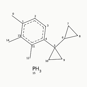 Cc1ccc(C2(C3CC3)CC2)c(C)c1C.P